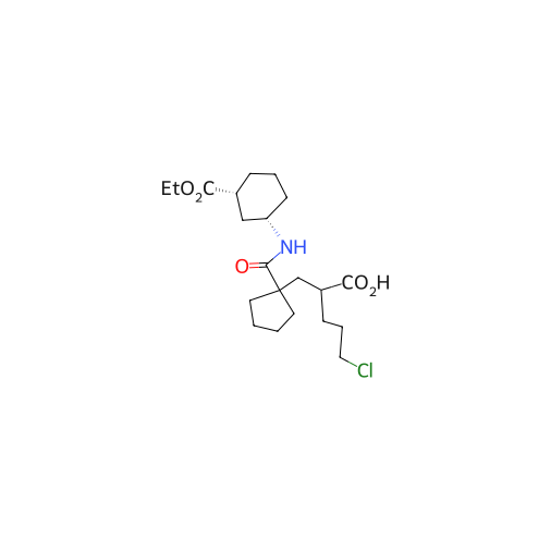 CCOC(=O)[C@@H]1CCC[C@H](NC(=O)C2(CC(CCCCl)C(=O)O)CCCC2)C1